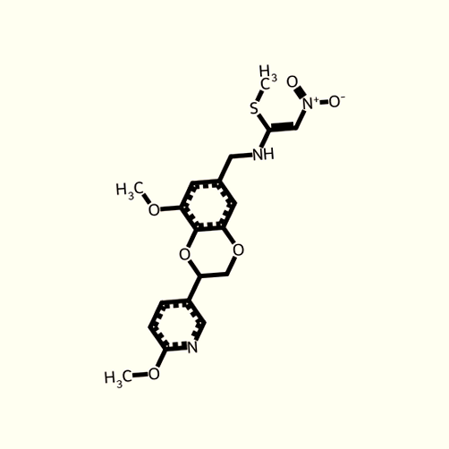 COc1ccc(C2COc3cc(CN/C(=C/[N+](=O)[O-])SC)cc(OC)c3O2)cn1